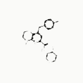 CN1CCOc2c(Cc3ccc(F)cc3)cc(C(=O)N[C@H]3COCC[C@@H]3O)nc21